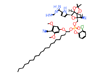 CCCCCCCCCCCCCCCCCCC[C@H](COP(=O)(OC[C@@]1(C#N)O[C@@H](c2ccc(/C(N)=N\C=N)[nH]2)[C@@H]2OC(C)(C)O[C@@H]21)Oc1ccccc1Cl)Oc1cc(OC)c(C#N)c(OC)c1